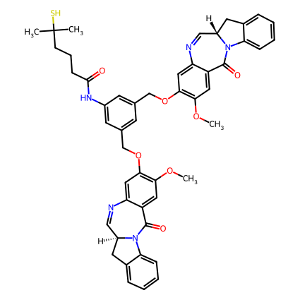 COc1cc2c(cc1OCc1cc(COc3cc4c(cc3OC)C(=O)N3c5ccccc5C[C@H]3C=N4)cc(NC(=O)CCCC(C)(C)S)c1)N=C[C@@H]1Cc3ccccc3N1C2=O